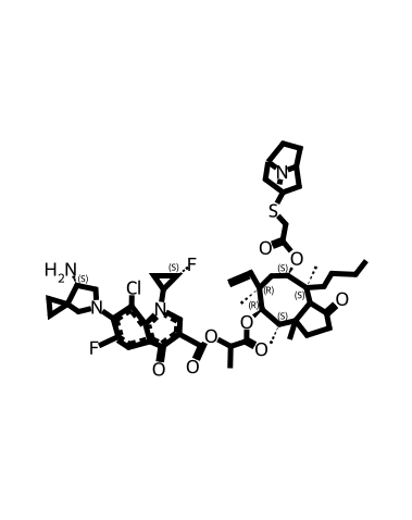 C=C[C@@]1(C)C[C@H](OC(=O)CSC2CC3CCC(C2)N3C)[C@@](C)(CCCC)C2C(=O)CCC2(C)[C@H](C)[C@H]1OC(=O)C(C)OC(=O)c1cn(C2C[C@@H]2F)c2c(Cl)c(N3C[C@@H](N)C4(CC4)C3)c(F)cc2c1=O